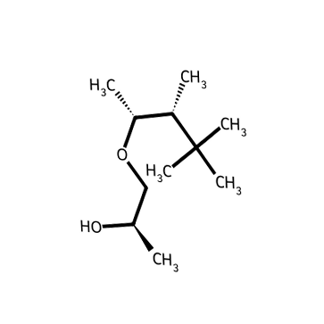 C[C@@H](O)CO[C@H](C)[C@H](C)C(C)(C)C